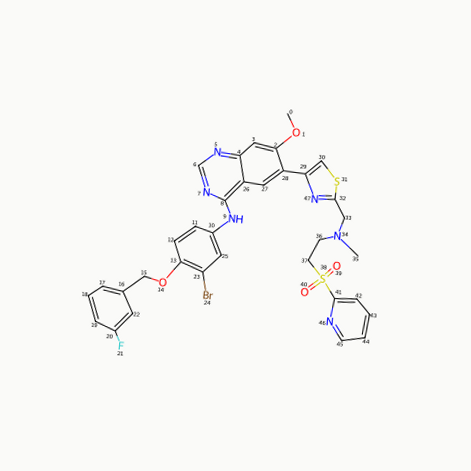 COc1cc2ncnc(Nc3ccc(OCc4cccc(F)c4)c(Br)c3)c2cc1-c1csc(CN(C)CCS(=O)(=O)c2ccccn2)n1